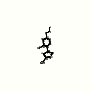 CCCc1ccc(-c2csc(Cl)c2)c(F)c1